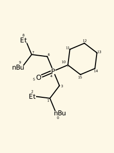 CCCCC(CC)CP(=O)(CC(CC)CCCC)[C]1CCCCC1